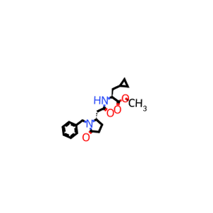 COC(=O)[C@H](CC1CC1)NC(=O)C[C@@H]1CCC(=O)N1Cc1ccccc1